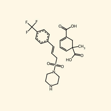 CC1(C(=O)O)C=CC=C(C(=O)O)C1.O=S(=O)(CC=Cc1ccc(C(F)(F)F)cc1)N1CCNCC1